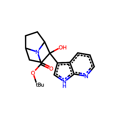 CC(C)(C)OC(=O)N1C2CCC1C(O)(c1c[nH]c3ncccc13)CC2